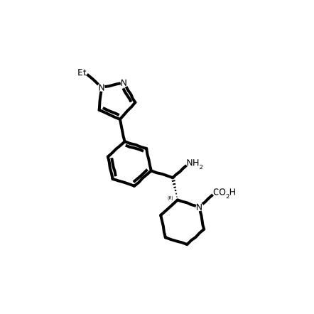 CCn1cc(-c2cccc(C(N)[C@H]3CCCCN3C(=O)O)c2)cn1